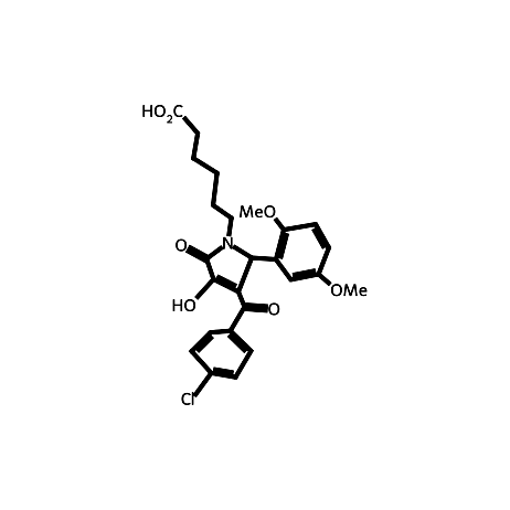 COc1ccc(OC)c(C2C(C(=O)c3ccc(Cl)cc3)=C(O)C(=O)N2CCCCCC(=O)O)c1